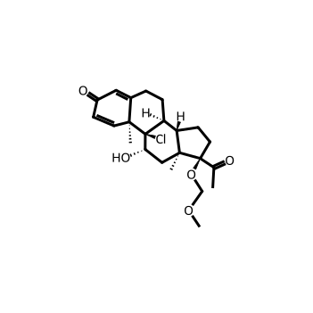 COCO[C@]1(C(C)=O)CC[C@H]2[C@@H]3CCC4=CC(=O)C=C[C@]4(C)[C@@]3(Cl)[C@@H](O)C[C@@]21C